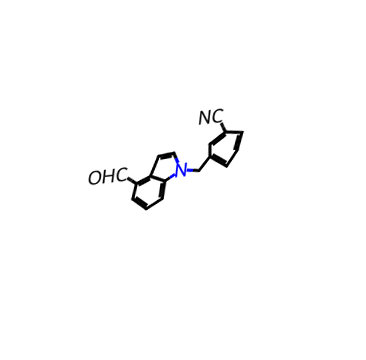 N#Cc1cccc(Cn2ccc3c(C=O)cccc32)c1